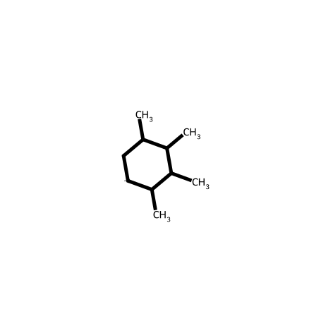 CC1[CH]CC(C)C(C)C1C